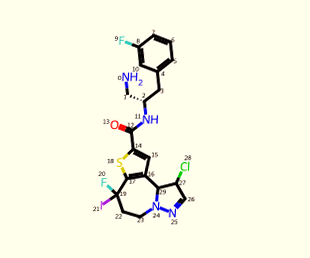 NC[C@H](Cc1cccc(F)c1)NC(=O)c1cc2c(s1)C(F)(I)CCN1N=CC(Cl)C21